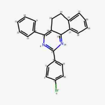 Brc1ccc(-c2nc(-c3ccccc3)c3c(n2)-c2ccccc2CC3)cc1